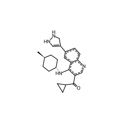 C[C@H]1CC[C@H](Nc2c(C(=O)C3CC3)cnc3ccc(C4=CNNC4)cc23)CC1